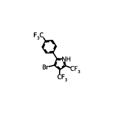 FC(F)(F)c1ccc(-c2[nH]c(C(F)(F)F)c(C(F)(F)F)c2Br)cc1